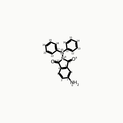 Nc1ccc2c(c1)C(=O)N(N(c1ccccc1)c1ccccc1)C2=O